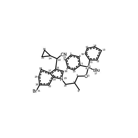 CC(CO[Si](c1ccccc1)(c1ccccc1)C(C)(C)C)Cn1cc(C(C#N)C2CC2)c2ccc(Br)cc21